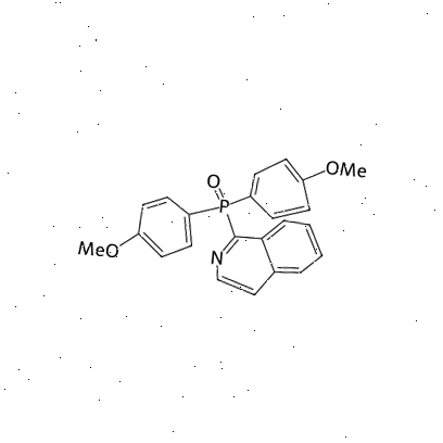 COc1ccc(P(=O)(c2ccc(OC)cc2)c2nccc3ccccc23)cc1